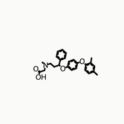 Cc1ccc(Oc2ccc(OC(CCN(C)CC(=O)O)c3ccccc3)cc2)c(C)c1